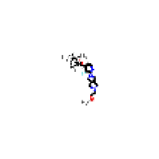 COCCN1CC2CN(c3nccc(CO[Si](C)(C)C(C)(C)C)c3F)CC2C1